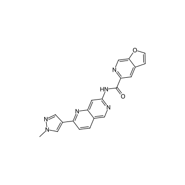 Cn1cc(-c2ccc3cnc(NC(=O)c4cc5ccoc5cn4)cc3n2)cn1